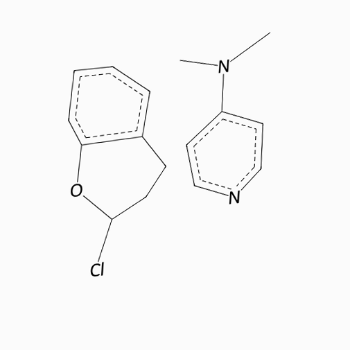 CN(C)c1ccncc1.ClC1CCc2ccccc2O1